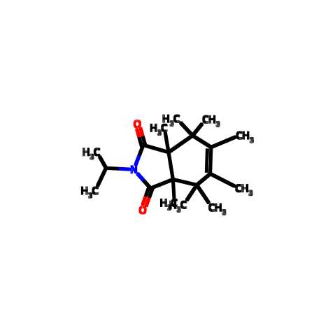 CC1=C(C)C(C)(C)C2(C)C(=O)N(C(C)C)C(=O)C2(C)C1(C)C